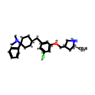 CN(C)[C@]1(c2ccccc2)CC[C@H](Cc2cc(Cl)cc(OCC3CN[C@H](C(=O)O)C3)c2)CC1